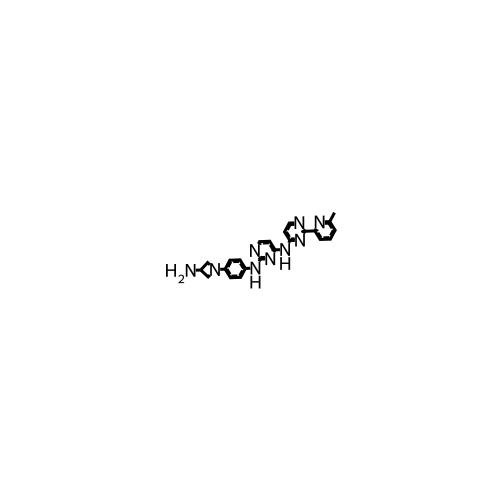 Cc1cccc(-c2nccc(Nc3ccnc(Nc4ccc(N5CC(N)C5)cc4)n3)n2)n1